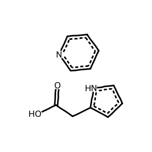 O=C(O)Cc1ccc[nH]1.c1ccncc1